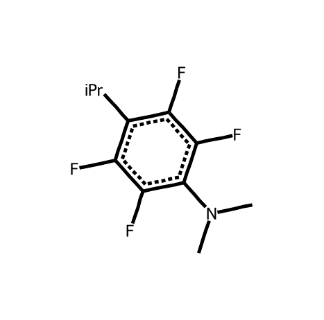 CC(C)c1c(F)c(F)c(N(C)C)c(F)c1F